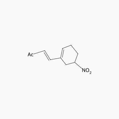 CC(=O)/C=C/C1=CCCC([N+](=O)[O-])C1